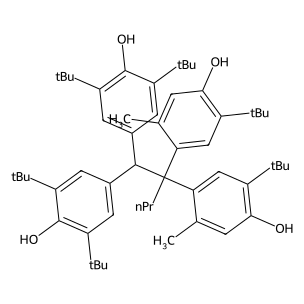 CCCC(c1cc(C(C)(C)C)c(O)cc1C)(c1cc(C(C)(C)C)c(O)cc1C)C(c1cc(C(C)(C)C)c(O)c(C(C)(C)C)c1)c1cc(C(C)(C)C)c(O)c(C(C)(C)C)c1